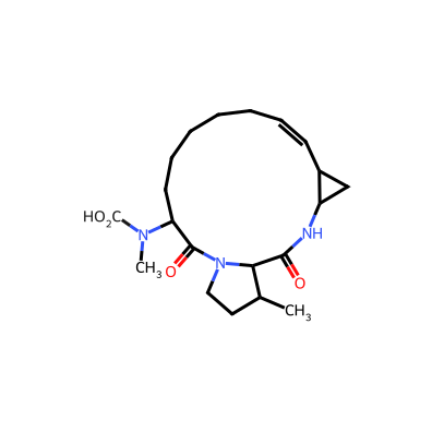 CC1CCN2C(=O)C(N(C)C(=O)O)CCCCCC=CC3CC3NC(=O)C12